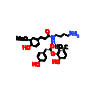 COc1cc(C=CC(=O)NCCCCN)ccc1O.O=C(Cc1ccc(O)cc1)Oc1c(O)cccc1C(=O)O